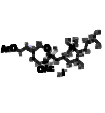 CC(=O)OC/C=C1\CC[C@@H](OC(C)=O)[C@](C)(CCCC(C)C(CC=C(C)C)[N+](C)(C)C)OC1.[I-]